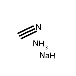 C#N.N.[NaH]